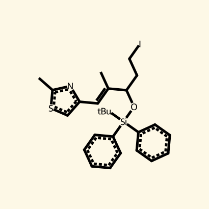 CC(=Cc1csc(C)n1)C(CCI)O[Si](c1ccccc1)(c1ccccc1)C(C)(C)C